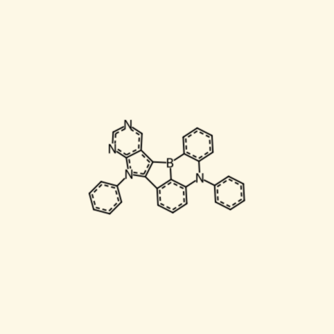 c1ccc(N2c3ccccc3B3c4c(cccc42)-c2c3c3cncnc3n2-c2ccccc2)cc1